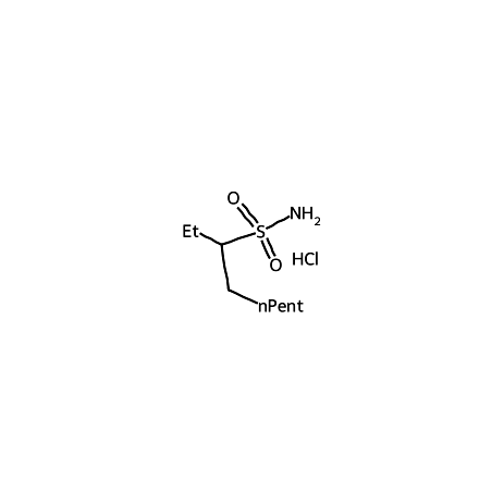 CCCCCCC(CC)S(N)(=O)=O.Cl